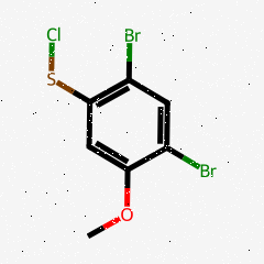 COc1cc(SCl)c(Br)cc1Br